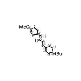 COc1ccc(NC(=O)/C=C/C2=CC=C(C(C)(C)C)CC2)cn1